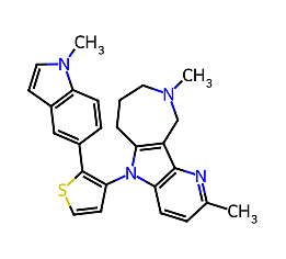 Cc1ccc2c(n1)c1c(n2-c2ccsc2-c2ccc3c(ccn3C)c2)CCCN(C)C1